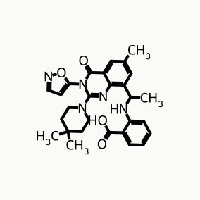 Cc1cc(C(C)Nc2ccccc2C(=O)O)c2nc(N3CCC(C)(C)CC3)n(-c3ccno3)c(=O)c2c1